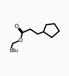 CC(C)(C)COC(=O)CCC1CCCC1